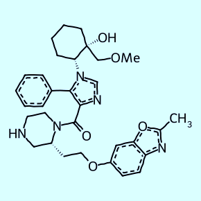 COC[C@]1(O)CCCC[C@H]1n1cnc(C(=O)N2CCNC[C@H]2CCOc2ccc3nc(C)oc3c2)c1-c1ccccc1